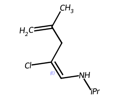 C=C(C)C/C(Cl)=C\NC(C)C